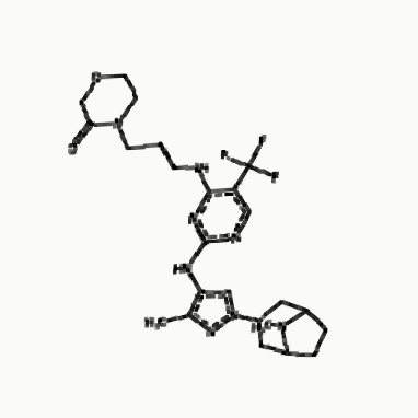 Cc1nn(C2CC3CCC(C2)N3C)cc1Nc1ncc(C(F)(F)F)c(NCCCN2CCOCC2=O)n1